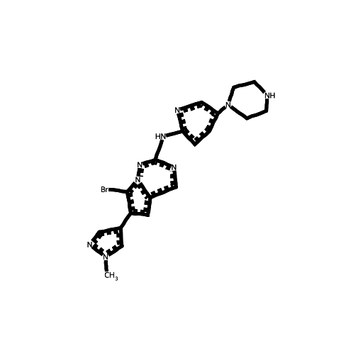 Cn1cc(-c2cc3cnc(Nc4ccc(N5CCNCC5)cn4)nn3c2Br)cn1